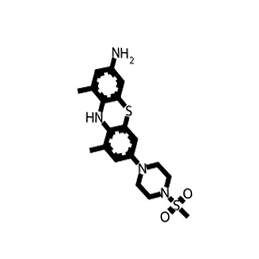 Cc1cc(N)cc2c1Nc1c(C)cc(N3CCN(S(C)(=O)=O)CC3)cc1S2